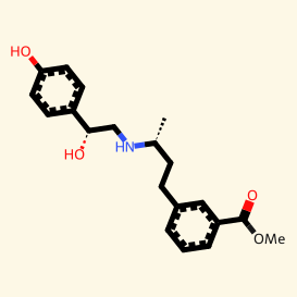 COC(=O)c1cccc(CC[C@@H](C)NC[C@H](O)c2ccc(O)cc2)c1